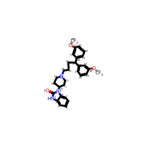 O=c1[nH]c2ccccc2n1C1CCN(CCCC(c2cccc(OC(F)(F)F)c2)c2cccc(OC(F)(F)F)c2)CC1